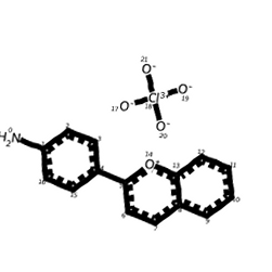 Nc1ccc(-c2ccc3ccccc3[o+]2)cc1.[O-][Cl+3]([O-])([O-])[O-]